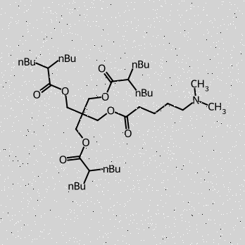 CCCCC(CCCC)C(=O)OCC(COC(=O)CCCCN(C)C)(COC(=O)C(CCCC)CCCC)COC(=O)C(CCCC)CCCC